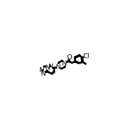 Cc1cc(CC(=O)N2CCN(c3ccc4nncn4n3)CC2)ccc1Cl